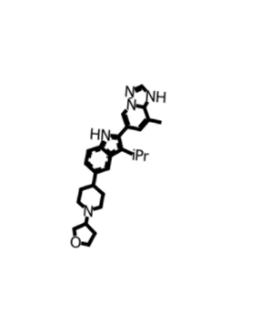 CC1=CC(c2[nH]c3ccc(C4CCN(C5CCOC5)CC4)cc3c2C(C)C)=CN2N=CNC12